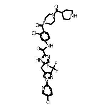 O=C(Nc1ccc(C(=O)N2CCN(C(=O)C3CCNCC3)CC2)c(Cl)c1)c1ncc(Cc2cn(-c3ccc(Cl)cn3)nc2C(F)(F)F)[nH]1